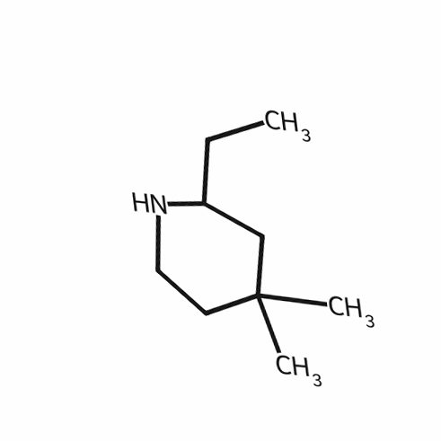 CCC1CC(C)(C)CCN1